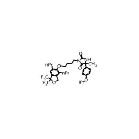 CCCc1cc2c(c(CCC)c1OCCCCN1C(=O)NC(C)(c3ccc(OC(C)C)cc3)C1=O)COC2(C(F)(F)F)C(F)(F)F